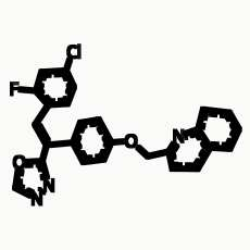 Fc1cc(Cl)ccc1/C=C(\c1ccc(OCc2ccc3ccccc3n2)cc1)c1nnco1